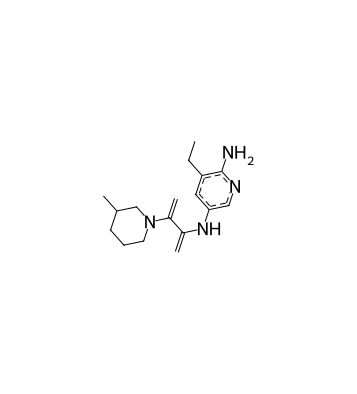 C=C(Nc1cnc(N)c(CC)c1)C(=C)N1CCCC(C)C1